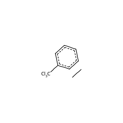 CC.ClC(Cl)(Cl)c1ccccc1